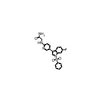 NC(=O)CNc1ccc(-c2cn(S(=O)(=O)c3ccccc3)c3cc(F)ccc23)cn1